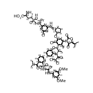 CC(C)=C1OC(=O)N(c2cc(OC3CCCC3)c(Cl)cc2F)C1=O.CC1COc2ccccc2N1C(=O)C(Cl)Cl.CCNc1nc(Cl)nc(NC(C)C)n1.COc1cc(OC)nc(NC(=O)NS(=O)(=O)c2ncccc2C(=O)N(C)C)n1.CP(=O)(O)CCC(N)C(=O)O